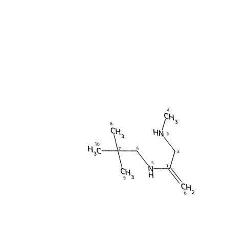 C=C(CNC)NCC(C)(C)C